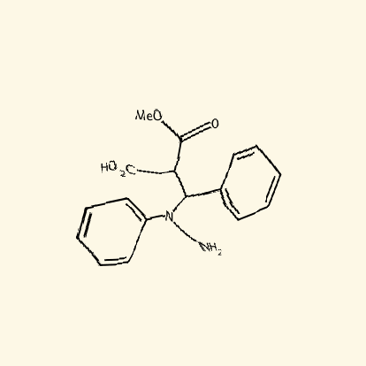 COC(=O)C(C(=O)O)C(c1ccccc1)N(N)c1ccccc1